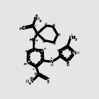 Cc1cc(Nc2nc(NC3(C(N)=O)CCCCC3)cnc2C(N)=O)sn1